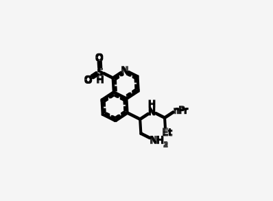 CCCC(CC)NC(CN)c1cccc2c([SH](=O)=O)nccc12